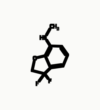 CBc1cccc2c1OCC2(F)F